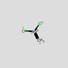 [CH2]=[Ru-2]([Cl])[Cl]